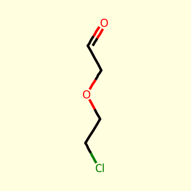 O=CCOCCCl